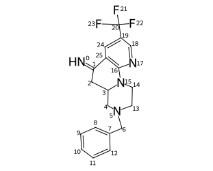 N=C1CC2CN(Cc3ccccc3)CCN2c2ncc(C(F)(F)F)cc21